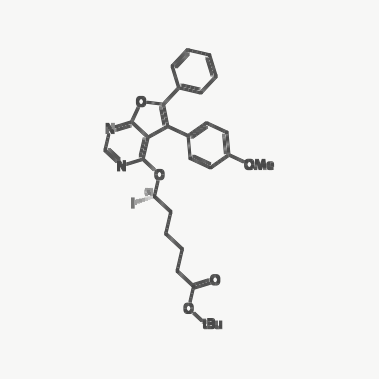 COc1ccc(-c2c(-c3ccccc3)oc3ncnc(O[C@@H](I)CCCCC(=O)OC(C)(C)C)c23)cc1